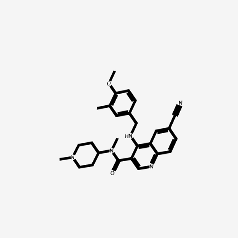 COc1ccc(CNc2c(C(=O)N(C)C3CCN(C)CC3)cnc3ccc(C#N)cc23)cc1C